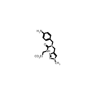 CCOC(=O)CNC(=O)N(Cc1ccc(N)cc1)Cc1cn(C)nn1